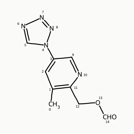 Cc1cc(-n2cnnn2)cnc1COC=O